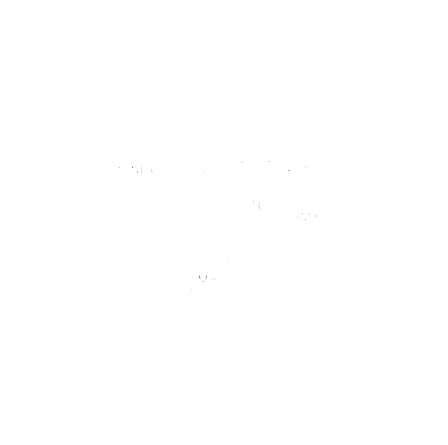 COc1nc(C(=CCCNC(C)=O)c2ccc(SC)cc2)ccc1C1CC1